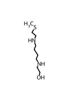 CSCCNCCCCNCCO